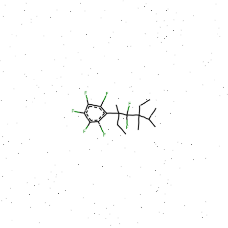 CCC(C)(c1c(F)c(F)c(F)c(F)c1F)C(F)(F)C(C)(CC)C(C)C